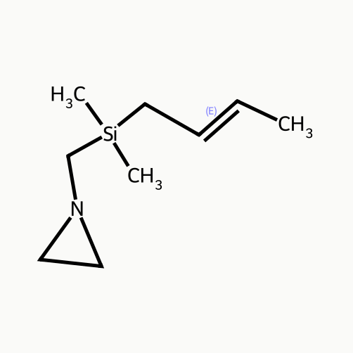 C/C=C/C[Si](C)(C)CN1CC1